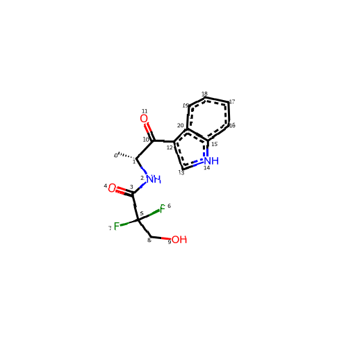 C[C@@H](NC(=O)C(F)(F)CO)C(=O)c1c[nH]c2ccccc12